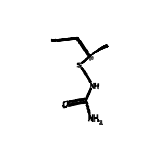 CC[C@@H](C)SNC(N)=O